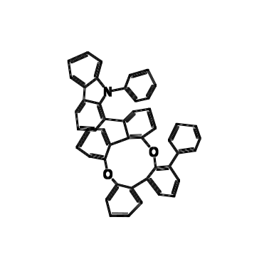 c1ccc(-c2cccc3c2Oc2cccc(-c4cccc5c6ccccc6n(-c6ccccc6)c45)c2-c2ccccc2Oc2ccccc2-3)cc1